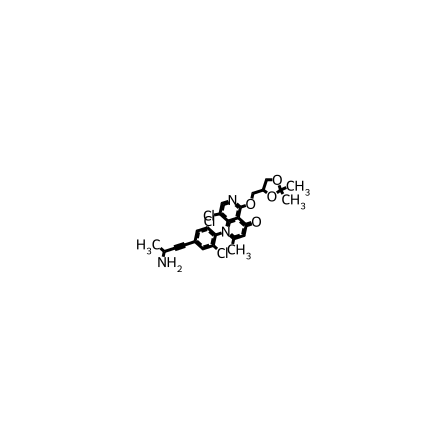 Cc1cc(=O)c2c(OCC3COC(C)(C)O3)ncc(Cl)c2n1-c1c(Cl)cc(C#CC(C)N)cc1Cl